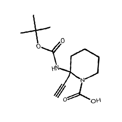 C#CC1(NC(=O)OC(C)(C)C)CCCCN1C(=O)O